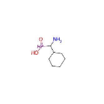 NC(C1CCCCC1)[PH](=O)O